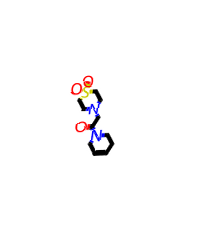 O=C(CN1CCS(=O)(=O)CC1)N1CC=CCC1